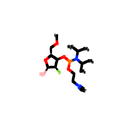 [2H]OC[C@H]1O[C@@H](B)[C@@H](F)[C@@H]1OP(OCC[N+]#[C-])N(C(C)C)C(C)C